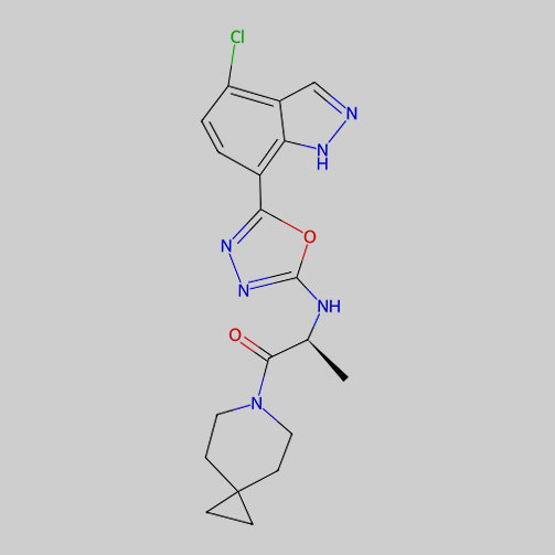 C[C@H](Nc1nnc(-c2ccc(Cl)c3cn[nH]c23)o1)C(=O)N1CCC2(CC1)CC2